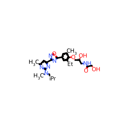 CCc1cc(-c2nc(-c3cc(C)nc(N(C)CC(C)C)n3)no2)cc(C)c1OC[C@@H](O)CNC(=O)CO